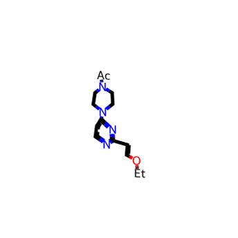 CCOC=Cc1nccc(N2CCN(C(C)=O)CC2)n1